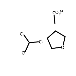 C1CCOC1.CC(=O)O.ClC(Cl)Cl